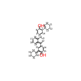 CC(c1ccc(O)c(C2CCCCC2)c1)c1ccccc1C(C)c1ccc(O)c(C2CCCCC2)c1